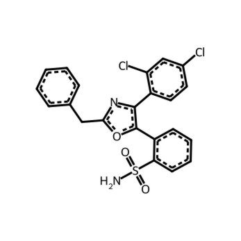 NS(=O)(=O)c1ccccc1-c1oc(Cc2ccccc2)nc1-c1ccc(Cl)cc1Cl